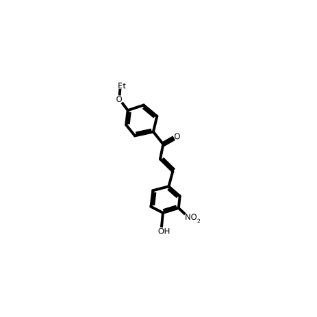 CCOc1ccc(C(=O)/C=C/c2ccc(O)c([N+](=O)[O-])c2)cc1